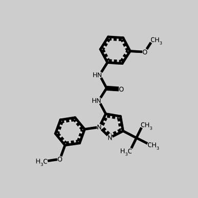 COc1cccc(NC(=O)Nc2cc(C(C)(C)C)nn2-c2cccc(OC)c2)c1